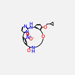 O=C1NCCCCOCc2cc(ccc2OCC2CC2)Nc2nccc(n2)-c2ccc1cc2[N+](=O)[O-]